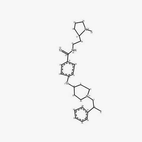 CC(CN1CCC(Oc2ccc(C(=O)NCCC3CCCN3C)cc2)CC1)c1ccccc1